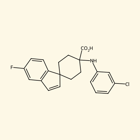 O=C(O)C1(Nc2cccc(Cl)c2)CCC2(C=Cc3cc(F)ccc32)CC1